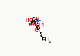 CCCCCCCCCC(=O)OCC(O)CO[C@@H]1OC(CO)[C@@H](O)[C@H](O)[C@@H]1N